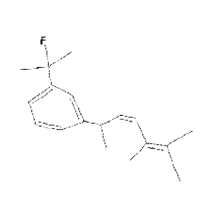 CC(C)=C(C)/C=C\C(C)c1cccc(C(C)(C)F)c1